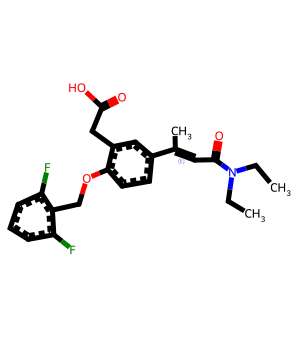 CCN(CC)C(=O)/C=C(\C)c1ccc(OCc2c(F)cccc2F)c(CC(=O)O)c1